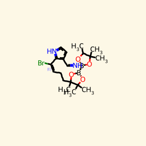 CC1OB(B2OC(C)(C)C(C)(CC/C=C(/Br)c3[nH]ccc3C=N)O2)OC1(C)C